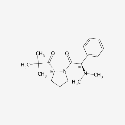 CN(C)[C@@H](C(=O)N1CCC[C@@H]1C(=O)C(C)(C)C)c1ccccc1